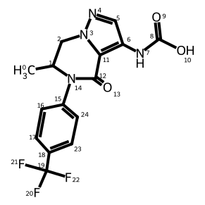 CC1Cn2ncc(NC(=O)O)c2C(=O)N1c1ccc(C(F)(F)F)cc1